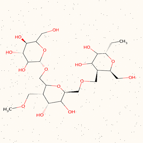 CC[C@@H]1O[C@@H](CO)[C@@H](COC[C@@H]2OC(CO[C@H]3OC(CO)[C@H](O)[C@@H](O)C3O)[C@@H](COC)[C@@H](O)C2O)C(O)C1O